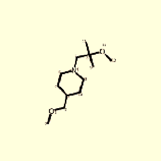 COCC1CCN(CC(C)(C)OC)CC1